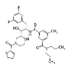 CCCN(CCC)C(=O)c1cc(C)cc(C(=O)N[C@@H](Cc2cc(F)cc(F)c2)C(O)[C@H]2CN(C(=O)c3cccs3)CCN2)c1